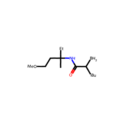 BC(C(=O)NC(C)(CC)CCOC)C(C)CC